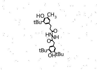 Cc1cc(CCC(=O)NNC(=O)Cc2cc(C(C)(C)C)c(O)c(C(C)(C)C)c2)cc(C(C)(C)C)c1O